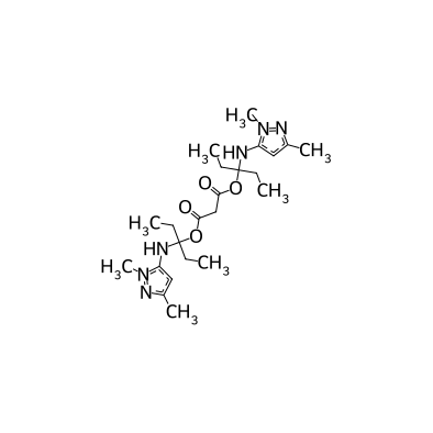 CCC(CC)(Nc1cc(C)nn1C)OC(=O)CC(=O)OC(CC)(CC)Nc1cc(C)nn1C